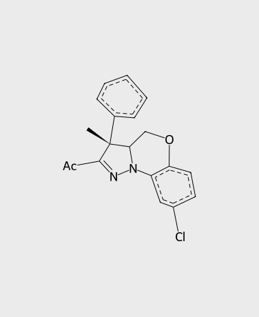 CC(=O)C1=NN2c3cc(Cl)ccc3OCC2[C@@]1(C)c1ccccc1